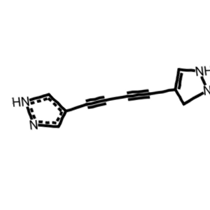 C(C#Cc1cn[nH]c1)#CC1=CNNC1